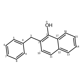 Oc1c(Cc2ccccc2)[c]cc2ccccc12